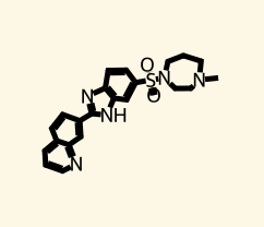 CN1CCCN(S(=O)(=O)c2ccc3nc(-c4ccc5cccnc5c4)[nH]c3c2)CC1